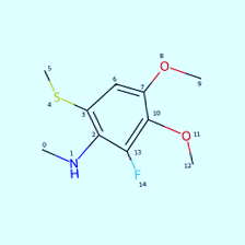 CNc1c(SC)cc(OC)c(OC)c1F